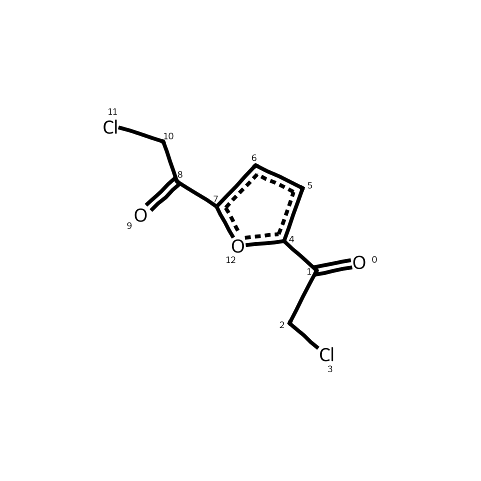 O=C(CCl)c1ccc(C(=O)CCl)o1